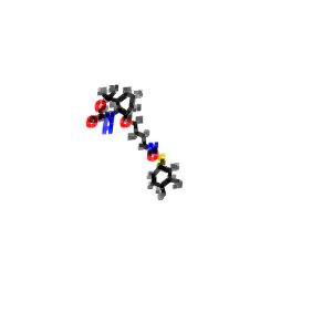 Cc1ccc(SON=CCCCOc2cccc3c2NC(=O)OC3(C)C)cc1C